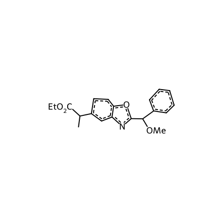 CCOC(=O)C(C)c1ccc2oc(C(OC)c3ccccc3)nc2c1